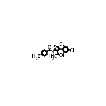 Bc1ccc(C(=O)Nc2scc(-c3ccc(Cl)cc3Cl)c2C(=C)O)cc1